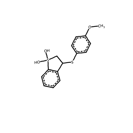 COc1ccc(SC2CS(O)(O)c3ccccc32)cc1